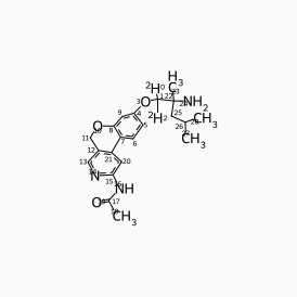 [2H]C([2H])(Oc1ccc2c(c1)OCc1cnc(NC(C)=O)cc1-2)C(C)(N)CC(C)C